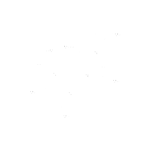 COC(=O)CN(CCN(CCN(CC(=O)OC)CC(=O)OC)CC(=O)OC)CCN(CC(=O)OC)CC(=O)OC